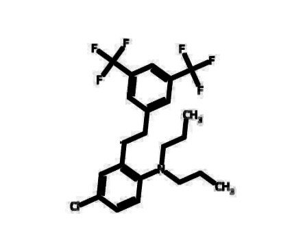 CCCN(CCC)c1ccc(Cl)cc1[CH]Cc1cc(C(F)(F)F)cc(C(F)(F)F)c1